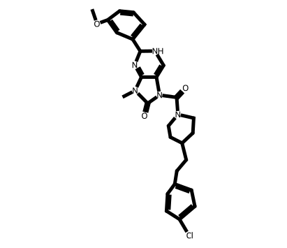 COc1cccc(C2N=c3c(n(C(=O)N4CCC(CCc5ccc(Cl)cc5)CC4)c(=O)n3C)=CN2)c1